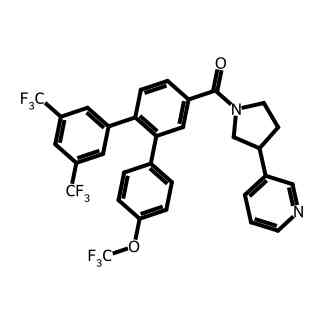 O=C(c1ccc(-c2cc(C(F)(F)F)cc(C(F)(F)F)c2)c(-c2ccc(OC(F)(F)F)cc2)c1)N1CCC(c2cccnc2)C1